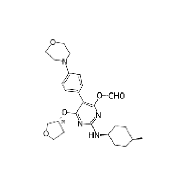 C[C@H]1CC[C@@H](Nc2nc(OC=O)c(-c3ccc(N4CCOCC4)cc3)c(O[C@@H]3CCOC3)n2)CC1